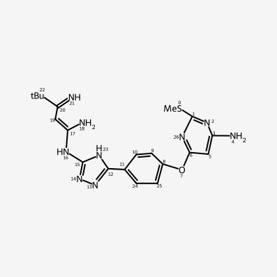 CSc1nc(N)cc(Oc2ccc(-c3nnc(N/C(N)=C/C(=N)C(C)(C)C)[nH]3)cc2)n1